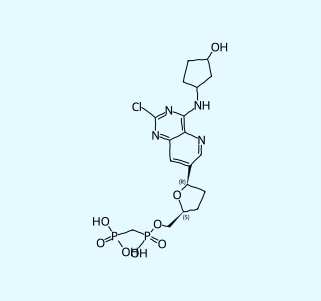 O=P(O)(O)CP(=O)(O)OC[C@@H]1CC[C@H](c2cnc3c(NC4CCC(O)C4)nc(Cl)nc3c2)O1